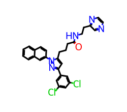 O=C(CCCc1cc(-c2cc(Cl)cc(Cl)c2)nn1-c1ccc2ccccc2c1)NCCc1cnccn1